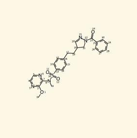 COc1nccnc1N(C)S(=O)(=O)c1ccc(CCC2C=NN(C(=O)c3ccccc3)C2)cc1